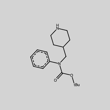 CC(C)(C)OC(=O)N(CC1CCNCC1)c1ccccc1